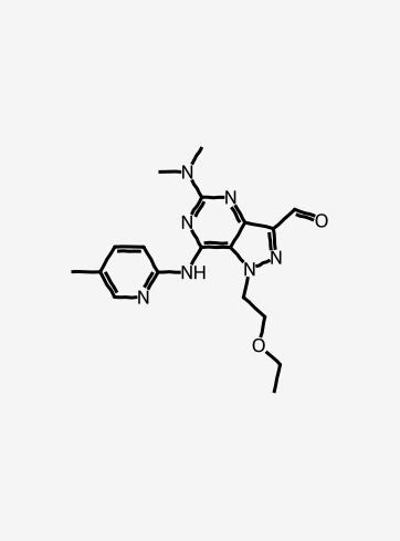 CCOCCn1nc(C=O)c2nc(N(C)C)nc(Nc3ccc(C)cn3)c21